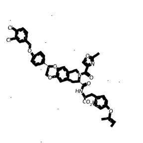 C/C=C(\C)Oc1ccc(C[C@H](NC(=O)[C@@H]2Cc3cc4c(cc3CN2C(=O)c2coc(C)n2)O[C@@H](c2ccc(OCc3ccc(Cl)c(Cl)c3)cc2)CO4)C(=O)O)cc1